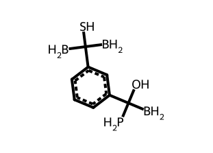 BC(O)(P)c1cccc(C(B)(B)S)c1